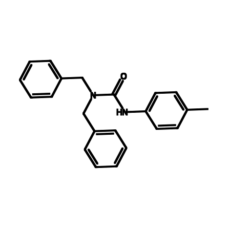 Cc1ccc(NC(=O)N(Cc2ccccc2)Cc2ccccc2)cc1